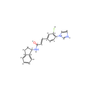 O=C(/C=C/c1ccc(-n2ccnc2)c(F)c1)NC1CCc2ccccc21